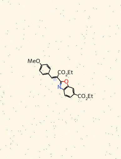 CCOC(=O)/C(=C\c1ccc(OC)cc1)c1nc2ccc(C(=O)OCC)cc2o1